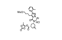 COCCCCc1c(C(=O)N(CC(C)C)[C@H]2C[C@@H](C(=O)Oc3oc(=O)oc3C)CN(C)C2)nnn1-c1ccccc1C.Cl